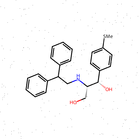 CSc1ccc([C@H](O)[C@H](CO)NCC(c2ccccc2)c2ccccc2)cc1